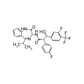 CC(C)C1=NC(NC(=O)[C@H](c2ccc(F)cc2)[C@@H](O)c2ccc(C(F)(F)F)c(F)c2)C(=O)Nc2ccccc21